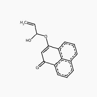 C=CC(O)OC1=CC(=O)c2cccc3cccc1c23